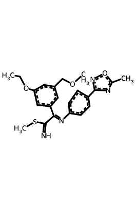 CCOc1cc(COC)cc(/C(=N\c2ccc(-c3noc(C)n3)cc2)C(=N)SC)c1